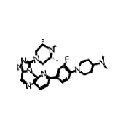 C[C@@H]1CN(c2nnc3cnc4ccc(-c5ccc(N6CCC(N(C)C)CC6)c(F)c5)nc4n23)C[C@H](C)N1C